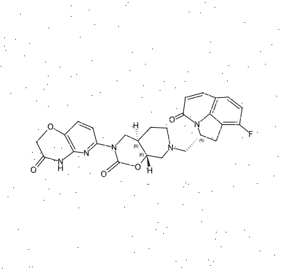 O=C1COc2ccc(N3C[C@H]4CCN(C[C@H]5Cc6c(F)ccc7ccc(=O)n5c67)C[C@@H]4OC3=O)nc2N1